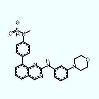 CN(c1ccc(-c2cccc3cnc(Nc4cccc(N5CCOCC5)c4)nc23)cc1)[SH](=O)=O